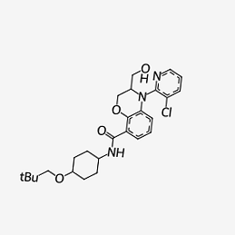 CC(C)(C)COC1CCC(NC(=O)c2cccc3c2OCC(CO)N3c2ncccc2Cl)CC1